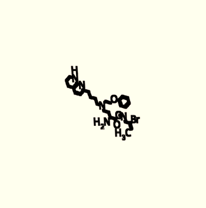 C/C=C(Br)\C=N\OC(=O)C(N)CCN(CCCCc1ccc2c(n1)NCCC2)CCOc1ccccc1